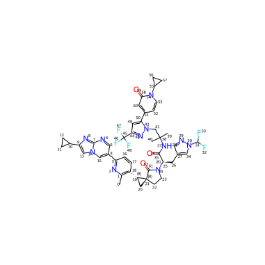 Cc1nc(-c2cnc3nc(C4CC4)cn3c2)ccc1[C@H]1C[C@@]12CCN([C@H](Cc1cnn(C(F)F)c1)C(=O)NC(C)(C)Cn1nc(C(F)(F)F)cc1-c1ccn(C3CC3)c(=O)c1)C2=O